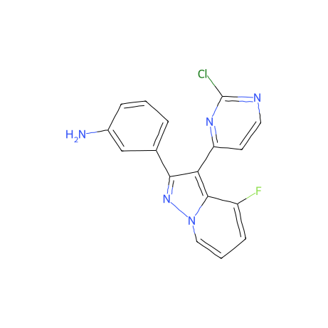 Nc1cccc(-c2nn3cccc(F)c3c2-c2ccnc(Cl)n2)c1